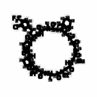 CCC(C)[C@@H]1NC(=O)[C@H](C)N(CC)C(=O)C[C@@H](C)NC(=O)[C@H](C(C)C)N(C)C(=O)C2(CCCC2)NC(=O)[C@@H]2CCCN2C(=O)[C@H](CCc2ccc(C(F)(F)F)c(Cl)c2)NC(=O)CN(C)C(=O)[C@H](CC2CCCCC2)N(C)C(=O)CN(C)C(=O)CN(C)C1=O